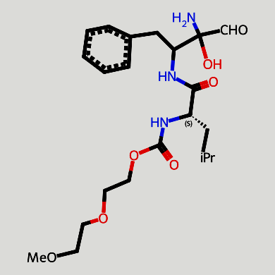 COCCOCCOC(=O)N[C@@H](CC(C)C)C(=O)NC(Cc1ccccc1)C(N)(O)C=O